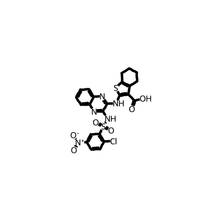 O=C(O)c1c(Nc2nc3ccccc3nc2NS(=O)(=O)c2cc([N+](=O)[O-])ccc2Cl)sc2c1CCCC2